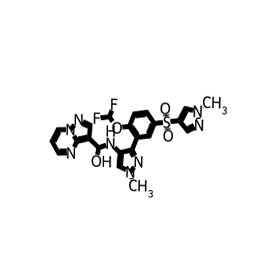 Cn1cc(S(=O)(=O)c2ccc(OC(F)F)c(-c3nn(C)cc3NC(O)c3cnn4cccnc34)c2)cn1